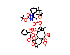 CO[C@H]1C(=O)[C@@]2(C)C([C@H](OC(=O)c3ccccc3)[C@]3(O)C[C@H](OC(=O)[C@H](O[Si](C)(C)C(C)(C)C)[C@@H](NC(=O)OC(C)(C)C)c4ccccc4)C(C)=C1C3(C)C)[C@]1(OC(C)=O)CO[C@@H]1C[C@@H]2OC